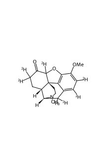 [2H]c1c([2H])c2c3c(c1OC)OC1([2H])C(=O)C([2H])([2H])C[C@H]4[C@H](N(C)CC[C@@]341)C2([2H])[2H]